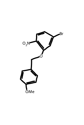 COc1ccc(COc2cc(Br)ccc2[N+](=O)[O-])cc1